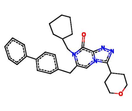 O=c1c2nnc(C3CCOCC3)n2cc(Cc2ccc(-c3ccccc3)cc2)n1CC1CCCCC1